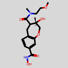 COCCN(C)C(=O)C1Cc2ccc(C(=O)NO)cc2OC[C@@]1(C)O